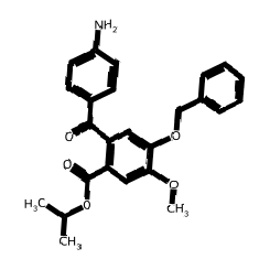 COc1cc(C(=O)OC(C)C)c(C(=O)c2ccc(N)cc2)cc1OCc1ccccc1